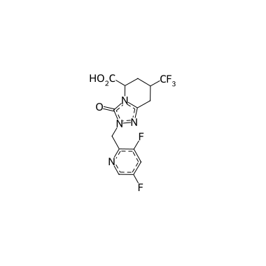 O=C(O)C1CC(C(F)(F)F)Cc2nn(Cc3ncc(F)cc3F)c(=O)n21